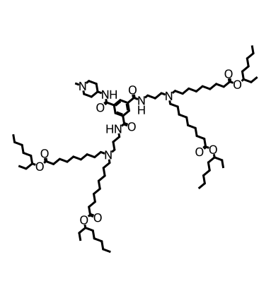 CCCCCC(CC)OC(=O)CCCCCCCCN(CCCCCCCCC(=O)OC(CC)CCCCC)CCCNC(=O)c1cc(C(=O)NCCCN(CCCCCCCCC(=O)OC(CC)CCCCC)CCCCCCCCC(=O)OC(CC)CCCCC)cc(C(=O)NC2CCN(C)CC2)c1